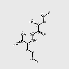 CSCCC(N[Se]C(=O)[C@@H](O)C[Se]C)C(=O)O